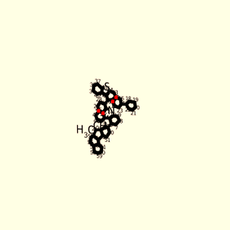 CC1(C)c2cc(-c3cccc(N(c4cccc(-c5ccccc5)c4)c4ccccc4-c4cccc5sc6ccccc6c45)c3-c3ccccc3)ccc2-c2c1ccc1ccccc21